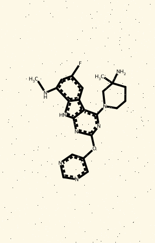 CNc1cc(F)cc2c1[nH]c1nc(Oc3cncnc3)nc(N3CCCC(C)(N)C3)c12